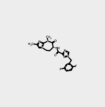 Cc1cn2c(n1)N(C)C(=O)[C@H](NC(=O)c1ncn(Cc3cc(F)ccc3F)n1)CC2